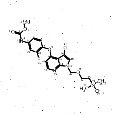 CC(C)(C)OC(=O)Nc1ccc(Oc2ccnc3c2c(Cl)cn3COCC[Si](C)(C)C)c(F)c1